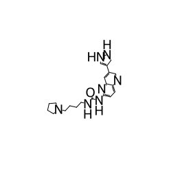 O=C(NCCCCN1CCCC1)Nc1ccc2ncc(C3=CNNC3)cc2n1